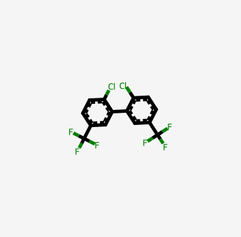 FC(F)(F)c1ccc(Cl)c(-c2cc(C(F)(F)F)ccc2Cl)c1